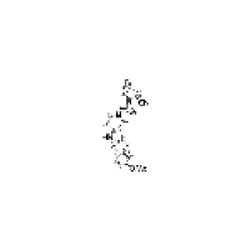 COc1ccc2cc(NC3CCN(CC(=O)N4C[C@@H](F)CC4C#N)CC3)cnc2c1